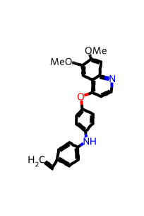 C=Cc1ccc(Nc2ccc(Oc3ccnc4cc(OC)c(OC)cc34)cc2)cc1